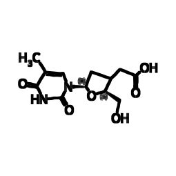 Cc1cn([C@H]2CC(CC(=O)O)[C@@H](CO)O2)c(=O)[nH]c1=O